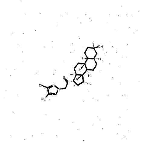 C[C@@H]1C[C@H](C(=O)Cn2cc(C#N)c(Cl)n2)[C@@]2(C)CC[C@H]3[C@@H](CC[C@@H]4C[C@](C)(O)CC[C@@H]43)[C@H]12